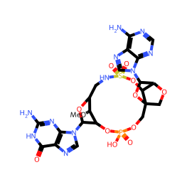 COC1C2CNS(=O)(=O)OC3C4OCC3(COP(=O)(O)OC1C(n1cnc3c(=O)[nH]c(N)nc31)O2)OC4n1cnc2c(N)ncnc21